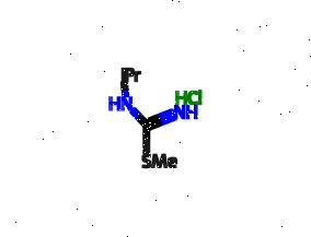 CSC(=N)NC(C)C.Cl